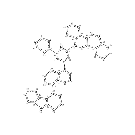 c1ccc(-c2nc(-c3cccc4c(-c5cccc6oc7ccccc7c56)cccc34)nc(-c3cc4c5ccccc5ccc4c4ccccc34)n2)cc1